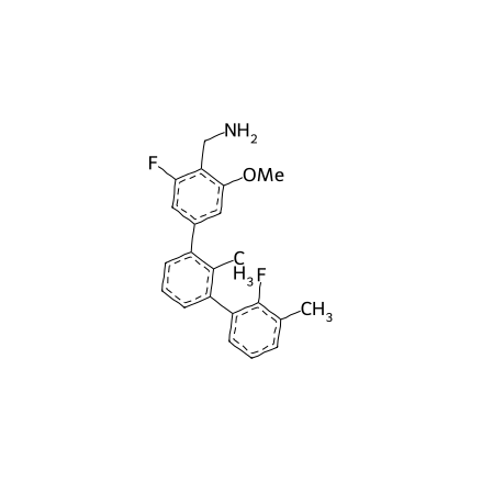 COc1cc(-c2cccc(-c3cccc(C)c3F)c2C)cc(F)c1CN